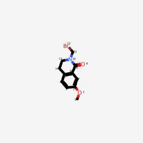 COc1ccc2c(c1)C(=O)N(CBr)CC2